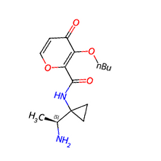 CCCCOc1c(C(=O)NC2([C@H](C)N)CC2)occc1=O